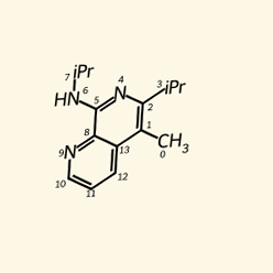 Cc1c(C(C)C)nc(NC(C)C)c2ncccc12